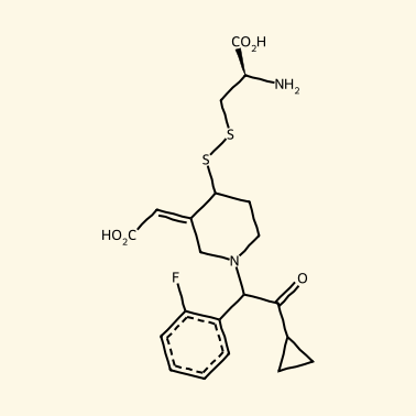 N[C@@H](CSSC1CCN(C(C(=O)C2CC2)c2ccccc2F)C/C1=C\C(=O)O)C(=O)O